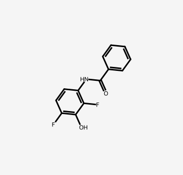 O=C(Nc1ccc(F)c(O)c1F)c1ccccc1